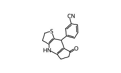 N#Cc1cccc(C2C3=C(CCS3)NC3=C2C(=O)CC3)c1